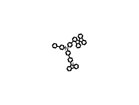 c1ccc(-c2ccc(N(c3ccc(-c4ccc(-n5c6ccccc6c6ccccc65)cc4)cc3)c3ccc(-c4cccc5c4-c4ccccc4C54c5ccccc5-c5ccccc54)cc3)cc2)cc1